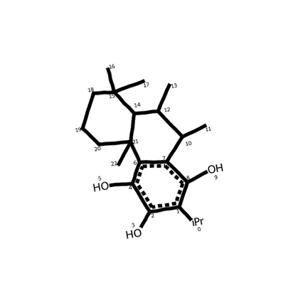 CC(C)c1c(O)c(O)c2c(c1O)C(C)C(C)C1C(C)(C)CCCC21C